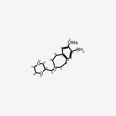 COc1cc2c(cc1N)CCN(CC1COCCO1)CC2